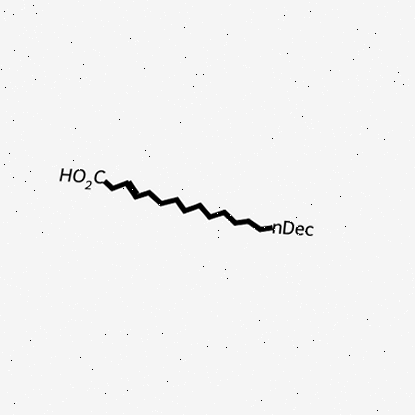 CCCCCCCCCCCCCCCCCCCC/C=C/CC(=O)O